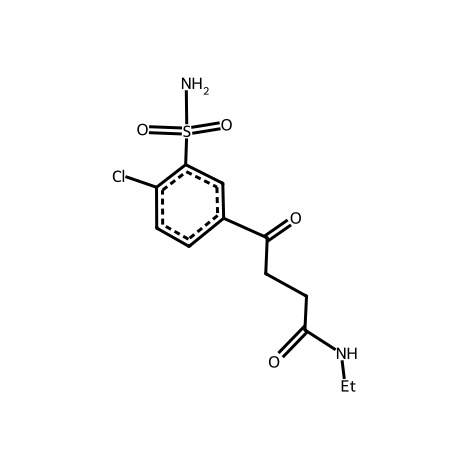 CCNC(=O)CCC(=O)c1ccc(Cl)c(S(N)(=O)=O)c1